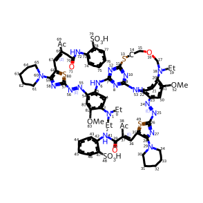 CCN(CC)c1cc(Nc2nc3nc(n2)SCCOCN(CC)c2cc(c(/N=N/c4nc(N5CCCCC5)c(/C=C(\C(C)=O)C(=O)Nc5ccccc5S(=O)(=O)O)s4)cc2OC)N3)c(/N=N/c2nc(N3CCCCC3)c(/C=C(/C(C)=O)C(=O)Nc3ccccc3S(=O)(=O)O)s2)cc1OC